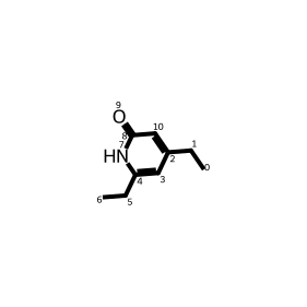 CCc1cc(CC)[nH]c(=O)c1